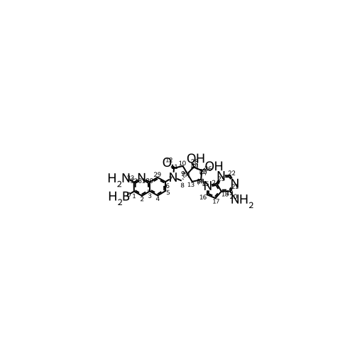 Bc1cc2ccc(N3C[C@@]4(CC3=O)C[C@@H](n3ccc5c(N)ncnc53)[C@H](O)[C@@H]4O)cc2nc1N